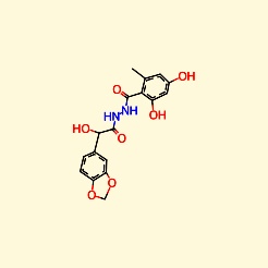 Cc1cc(O)cc(O)c1C(=O)NNC(=O)C(O)c1ccc2c(c1)OCO2